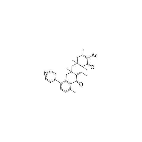 CC(=O)C1=C(C)CC2(C)CC3(C)Cc4c(-c5ccncc5)ccc(C)c4C(=O)C3=C(C)C2(C)C1=O